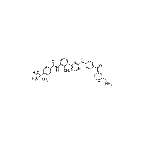 Cc1c(NC(=O)c2ccc(C(C)(C)C)cc2)cccc1-c1ncnc(Nc2ccc(C(=O)N3CCOC(CN)C3)cc2)n1